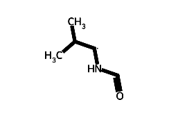 CC(C)[CH]NC=O